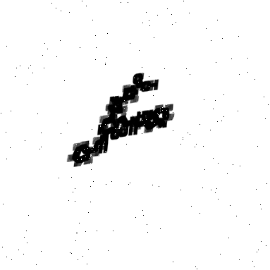 O=C(Cn1c(-c2cnn(C3CN(C(=O)O)C3)c2)cnc(NCCc2ccccc2)c1=O)NCc1cc2ncccc2[nH]1